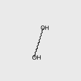 OCCCC/C=C/CC/C=C/CCCCCCCCO